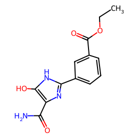 CCOC(=O)c1cccc(-c2nc(C(N)=O)c(O)[nH]2)c1